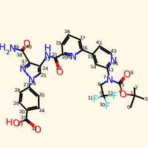 CC(C)(C)OC(=O)N(CC(F)(F)F)c1cc(-c2cccc(C(=O)Nc3cn(-c4ccc(C(=O)O)cc4)nc3C(N)=O)n2)ccn1